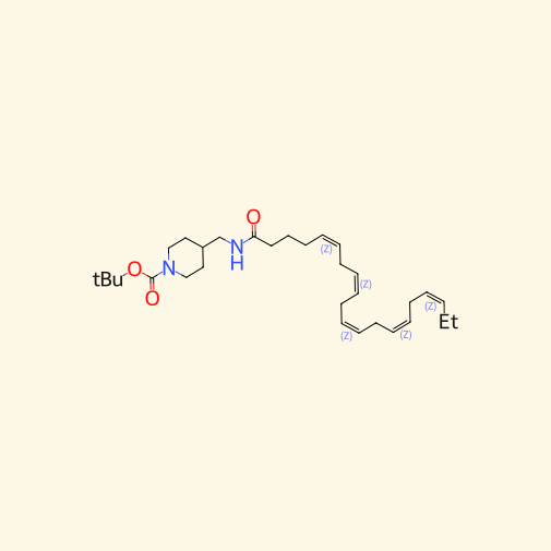 CC/C=C\C/C=C\C/C=C\C/C=C\C/C=C\CCCC(=O)NCC1CCN(C(=O)OC(C)(C)C)CC1